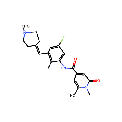 Cc1c(C=C2CCN(C=O)CC2)cc(F)cc1NC(=O)c1cc(C#N)n(C)c(=O)c1